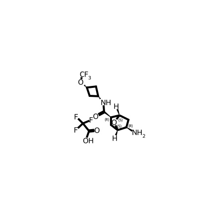 N[C@@H]1C[C@@H]2O[C@H]1C[C@H]2C(=O)N[C@H]1C[C@@H](OC(F)(F)F)C1.O=C(O)C(F)(F)F